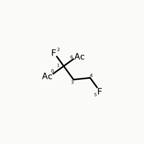 CC(=O)C(F)(CCF)C(C)=O